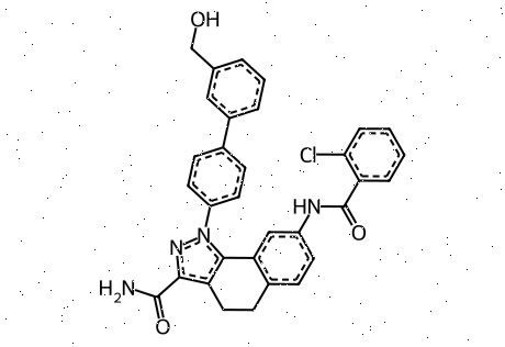 NC(=O)c1nn(-c2ccc(-c3cccc(CO)c3)cc2)c2c1CCc1ccc(NC(=O)c3ccccc3Cl)cc1-2